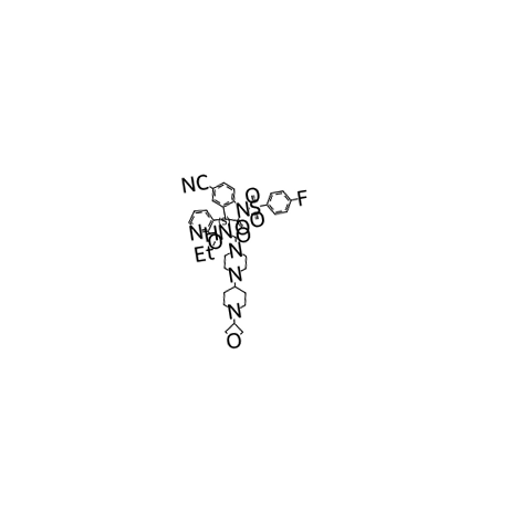 CCOc1ncccc1[C@]1(NC(=O)N2CCN(C3CCN(C4COC4)CC3)CC2)C(=O)N(S(=O)(=O)c2ccc(F)cc2)c2ccc(C#N)cc21